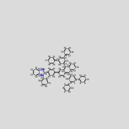 c1ccc(-c2cc(-c3ccccc3)cc(-c3c4ccccc4c(-c4cc(-c5ccccc5)cc(-c5ccccc5)c4)c4cc(-c5ccc(-c6nc7ccccc7n6-c6ccccc6)cc5)ccc34)c2)cc1